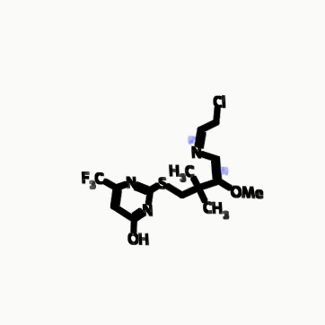 CO/C(=C/N=C\CCl)C(C)(C)CSc1nc(O)cc(C(F)(F)F)n1